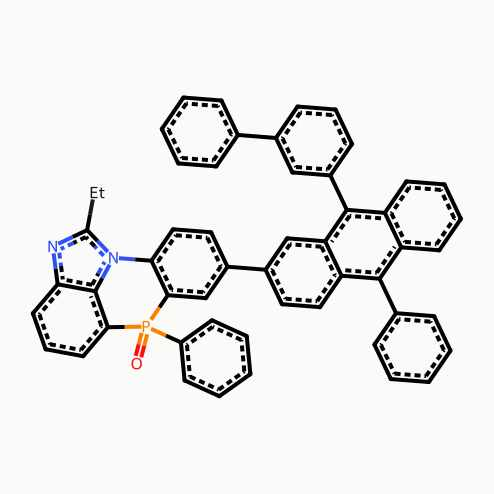 CCc1nc2cccc3c2n1-c1ccc(-c2ccc4c(-c5ccccc5)c5ccccc5c(-c5cccc(-c6ccccc6)c5)c4c2)cc1P3(=O)c1ccccc1